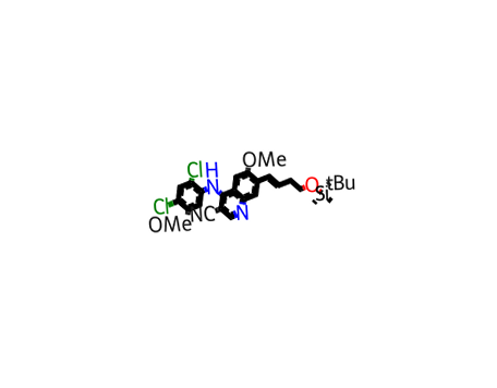 COc1cc(Nc2c(C#N)cnc3cc(C=CCCO[Si](C)(C)C(C)(C)C)c(OC)cc23)c(Cl)cc1Cl